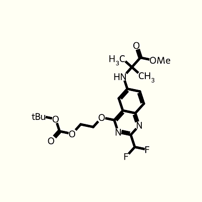 COC(=O)C(C)(C)Nc1ccc2nc(C(F)F)nc(OCCOC(=O)OC(C)(C)C)c2c1